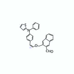 O=Cc1cc2ccccc2cc1CO/C=C\c1ccc(N(c2ccccc2)c2cccs2)cc1